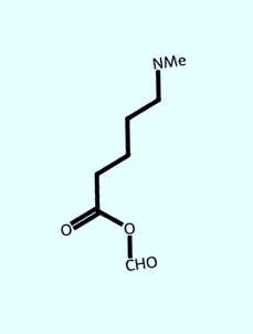 CNCCCCC(=O)OC=O